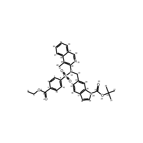 CCOC(=O)c1ccc(S(=O)(=O)N(Cc2ccc3ccn(C(=O)OC(C)(C)C)c3c2)c2ncc3ccccc3c2C)cc1